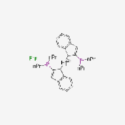 CCCP(CCC)C1=Cc2ccccc2[CH]1[Hf+2][CH]1C(P(CCC)CCC)=Cc2ccccc21.[F-].[F-]